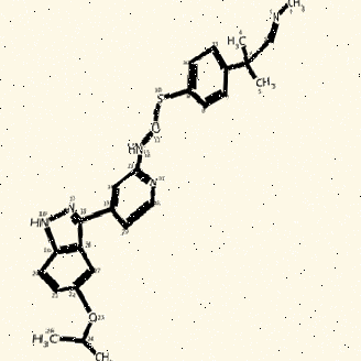 C/N=C/C(C)(C)c1ccc(SONc2cc(-c3n[nH]c4ccc(OC(C)C)cc34)ccn2)cc1